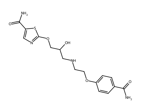 NC(=O)c1ccc(OCCNCC(O)COc2ncc(C(N)=O)s2)cc1